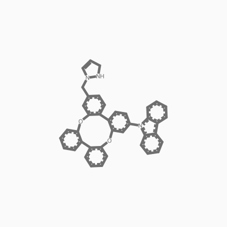 C1=CN(Cc2ccc3c(c2)Oc2ccccc2-c2ccccc2Oc2cc(-n4c5ccccc5c5ccccc54)ccc2-3)NC1